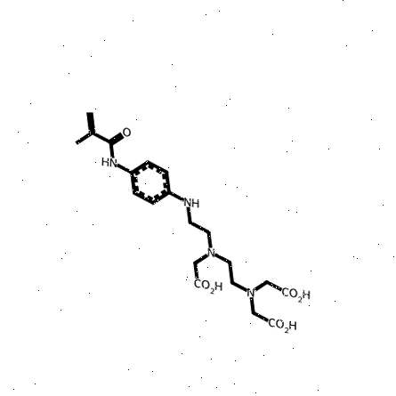 C=C(C)C(=O)Nc1ccc(NCCN(CCN(CC(=O)O)CC(=O)O)CC(=O)O)cc1